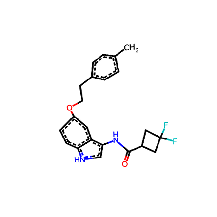 Cc1ccc(CCOc2ccc3[nH]cc(NC(=O)C4CC(F)(F)C4)c3c2)cc1